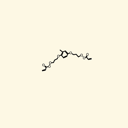 C=CC(=O)OOCCCOc1ccc(OCCCOOC(=O)C=C)c(C)c1